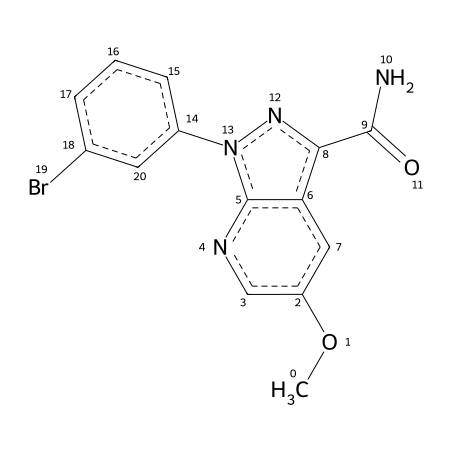 COc1cnc2c(c1)c(C(N)=O)nn2-c1cccc(Br)c1